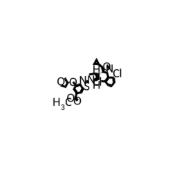 COC(=O)c1cc(O[C@H]2CCOC2)c2nc(N3C[C@H]4C[C@@H]3C[C@H]4c3c(-c4c(Cl)cccc4Cl)noc3C3CC3)sc2c1